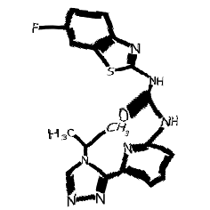 CC(C)n1cnnc1-c1cccc(NC(=O)Nc2nc3ccc(F)cc3s2)n1